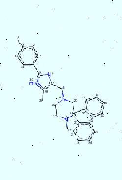 Cc1ccc(-c2nc(CN3CCN(C)C(c4ccccc4)(c4ccccc4)C3)c(C)[nH]2)cc1